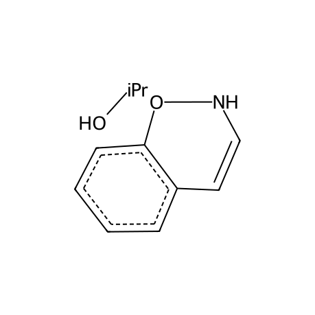 C1=Cc2ccccc2ON1.CC(C)O